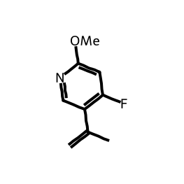 C=C(C)c1cnc(OC)cc1F